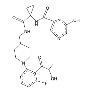 CC(O)C(=O)c1c(F)cccc1N1CCC(CNC(=O)C2(NC(=O)c3cncc(O)c3)CC2)CC1